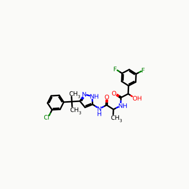 CC(NC(=O)C(O)c1cc(F)cc(F)c1)C(=O)Nc1cc(C(C)(C)c2cccc(Cl)c2)n[nH]1